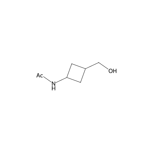 CC(=O)NC1CC(CO)C1